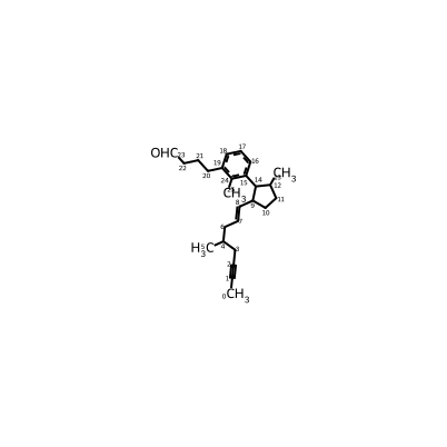 CC#CCC(C)C/C=C/C1CCC(C)C1c1cccc(CCCC=O)c1C